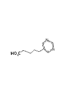 O=C(O)CCCCc1cncnc1